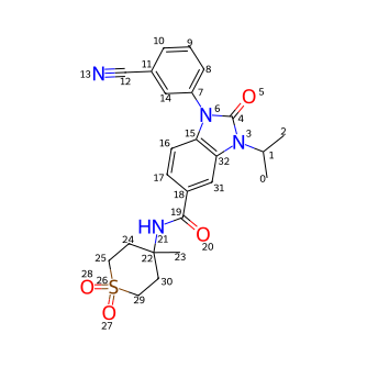 CC(C)n1c(=O)n(-c2cccc(C#N)c2)c2ccc(C(=O)NC3(C)CCS(=O)(=O)CC3)cc21